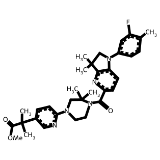 COC(=O)C(C)(C)c1ccc(N2CCN(C(=O)c3ccc4c(n3)C(C)(C)CN4c3ccc(C)c(F)c3)C(C)(C)C2)nc1